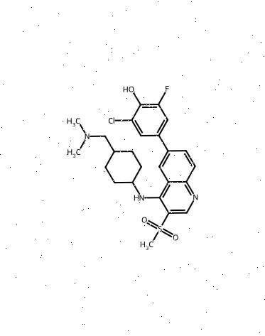 CN(C)CC1CCC(Nc2c(S(C)(=O)=O)cnc3ccc(-c4cc(F)c(O)c(Cl)c4)cc23)CC1